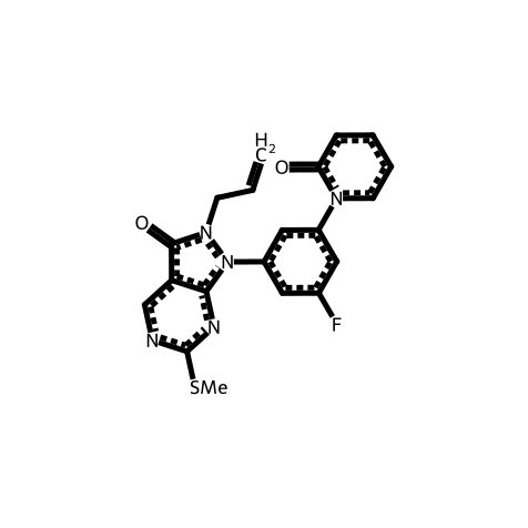 C=CCn1c(=O)c2cnc(SC)nc2n1-c1cc(F)cc(-n2ccccc2=O)c1